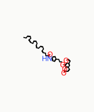 CC/C=C\C/C=C\C/C=C\C/C=C\C/C=C\C/C=C\CCC(=O)Nc1ccc(CCCOc2c3occc3cc3ccc(=O)oc23)cc1